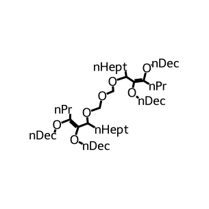 CCCCCCCCCCOC(CCC)=C(OCCCCCCCCCC)C(CCCCCCC)OCOCOC(CCCCCCC)C(OCCCCCCCCCC)=C(CCC)OCCCCCCCCCC